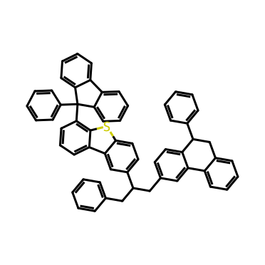 c1ccc(CC(Cc2ccc3c(c2)-c2ccccc2CC3c2ccccc2)c2ccc3sc4c(C5(c6ccccc6)c6ccccc6-c6ccccc65)cccc4c3c2)cc1